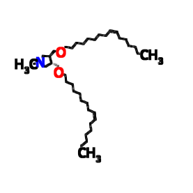 CCCCCC/C=C\CCCCCCCCOC[C@@H]1CN(C)C[C@H]1COCCCCCCCC/C=C\CCCCCC